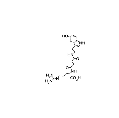 NC(N)=NCCC[C@H](NC(=O)CCC(=O)NCCc1c[nH]c2ccc(O)cc12)C(=O)O